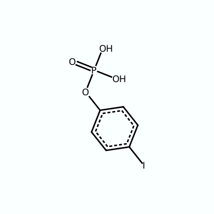 O=P(O)(O)Oc1ccc(I)cc1